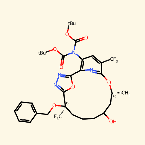 C[C@@H]1CC(O)CCC[C@](OCc2ccccc2)(C(F)(F)F)c2nnc(o2)-c2nc(c(C(F)(F)F)cc2N(C(=O)OC(C)(C)C)C(=O)OC(C)(C)C)O1